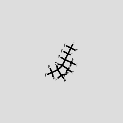 FC(F)(F)C(F)(F)C(F)(C(F)(F)F)C1(C(F)(F)F)OC1(C(F)(F)F)C(F)(F)F